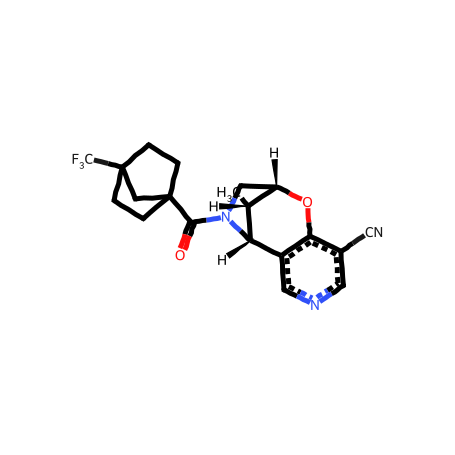 C[C@@H]1[C@@H]2CN(C(=O)C34CCC(C(F)(F)F)(CC3)C4)[C@H]1c1cncc(C#N)c1O2